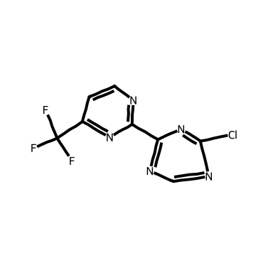 FC(F)(F)c1ccnc(-c2n[c]nc(Cl)n2)n1